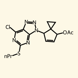 CCCSc1nc(Cl)c2nnn(C3C=CC(OC(C)=O)C34CC4)c2n1